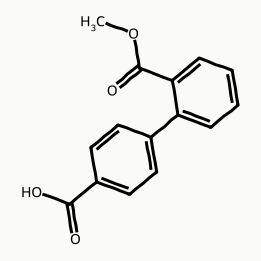 COC(=O)c1ccccc1-c1ccc(C(=O)O)cc1